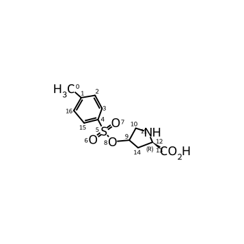 Cc1ccc(S(=O)(=O)OC2CN[C@@H](C(=O)O)C2)cc1